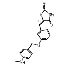 CNc1ccc(COc2cccc(/C=C3/SC(=S)NC3=O)c2)cc1